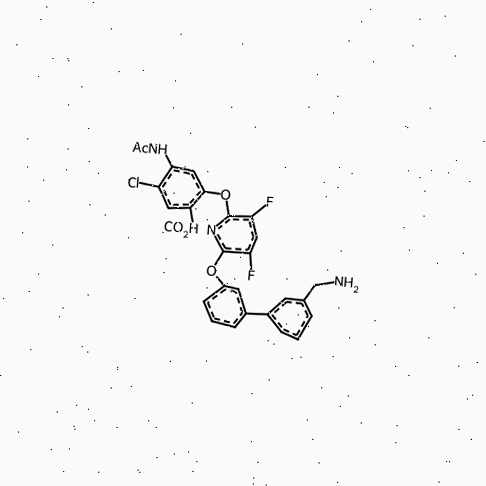 CC(=O)Nc1cc(Oc2nc(Oc3cccc(-c4cccc(CN)c4)c3)c(F)cc2F)c(C(=O)O)cc1Cl